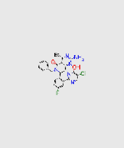 CCc1nc(N)nc2c1C(=O)N(Cc1ccccc1)C(c1ccc(F)cc1-c1ncc(Cl)c(O)n1)C2